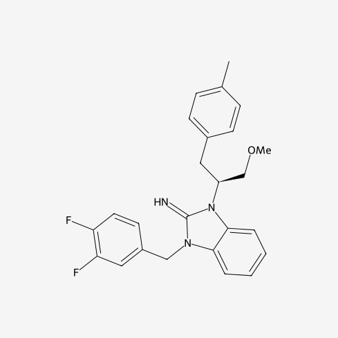 COC[C@H](Cc1ccc(C)cc1)n1c(=N)n(Cc2ccc(F)c(F)c2)c2ccccc21